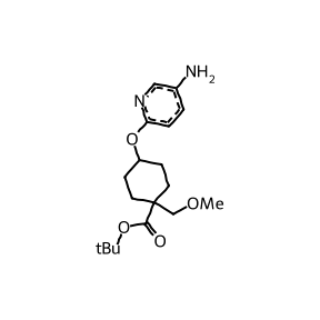 COCC1(C(=O)OC(C)(C)C)CCC(Oc2ccc(N)cn2)CC1